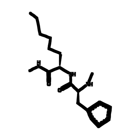 CCCCCC[C@H](NC(=O)[C@H](Cc1ccccc1)NC)C(=O)NC